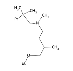 CCOCC(C)CCN(C)CC(C)(C)C(C)C